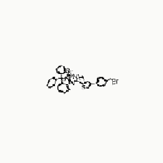 BrCc1ccc(-c2csc(C3=NN(C(c4ccccc4)(c4ccccc4)c4ccccc4)N(Br)N3)c2)cc1